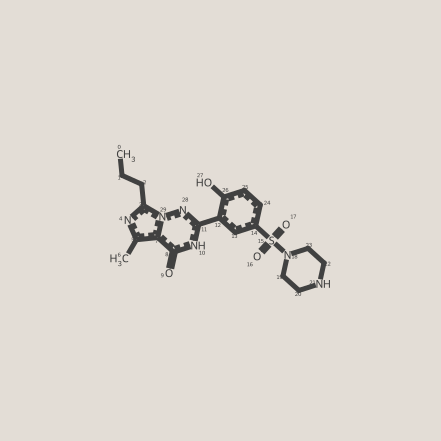 CCCc1nc(C)c2c(=O)[nH]c(-c3cc(S(=O)(=O)N4CCNCC4)ccc3O)nn12